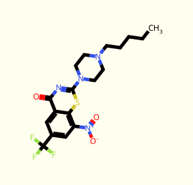 CCCCCN1CCN(c2nc(=O)c3cc(C(F)(F)F)cc([N+](=O)[O-])c3s2)CC1